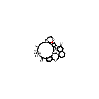 C[C@@H]1[C@@H](C)CCC[C@@]2(COCCN2)[C@@H]2CC[C@H]2CN2C[C@@]3(CCCc4cc(Cl)ccc43)COc3ccc(cc32)C(=O)NS1(=O)=O